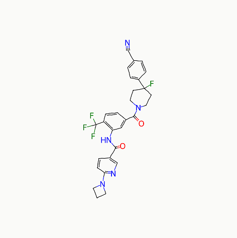 N#Cc1ccc(C2(F)CCN(C(=O)c3ccc(C(F)(F)F)c(NC(=O)c4ccc(N5CCC5)nc4)c3)CC2)cc1